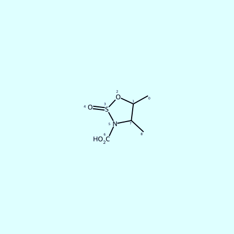 CC1OS(=O)N(C(=O)O)C1C